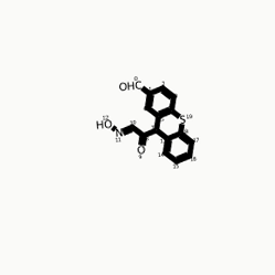 O=Cc1ccc2c(c1)C(C(=O)C=NO)c1ccccc1S2